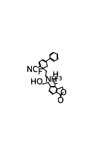 Cc1c(C(CO)NCCC2(F)CC(c3ccccc3)=CC=C2C#N)ccc2c1COC2=O